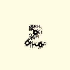 CCc1cc(NC(=O)NC[C@@H]2CCCC[C@H]2NCCCc2ccc(F)cc2)cc(-c2nnnn2C)c1